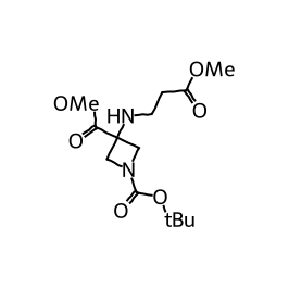 COC(=O)CCNC1(C(=O)OC)CN(C(=O)OC(C)(C)C)C1